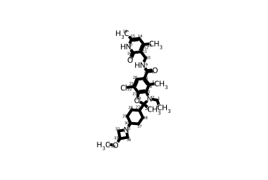 CCN1c2c(C)c(C(=O)NCc3c(C)cc(C)[nH]c3=O)cc(Cl)c2OC1(C)C1CCC(N2CC(OC)C2)CC1